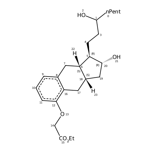 CCCCCC(O)CC[C@@H]1[C@H]2Cc3cccc(OCC(=O)OCC)c3C[C@H]2C[C@H]1O